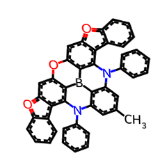 Cc1cc2c3c(c1)N(c1ccccc1)c1c4c(cc5oc6ccccc6c15)Oc1cc5oc6ccccc6c5c(c1B34)N2c1ccccc1